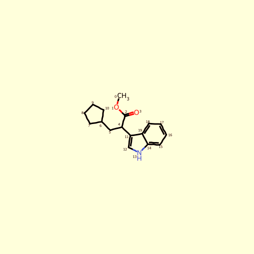 COC(=O)C(CC1CCCC1)c1c[nH]c2ccccc12